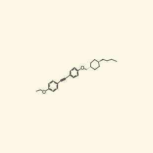 CCCC[C@H]1CC[C@H](COc2ccc(C#Cc3ccc(OCC)cc3)cc2)CC1